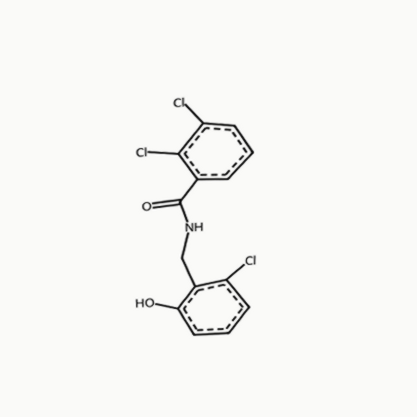 O=C(NCc1c(O)cccc1Cl)c1cccc(Cl)c1Cl